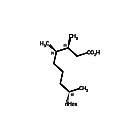 CCCCCC[C@@H](C)CCC[C@@H](C)[C@@H](C)CC(=O)O